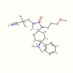 COCCCN1C(=O)N(CC(C)(C)C#N)C[C@]12CC[C@](c1ccccc1)(N(C)C)CC2